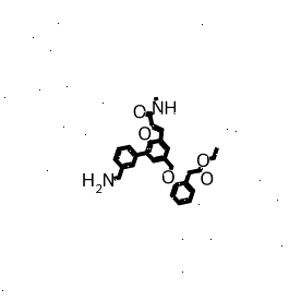 CCOC(=O)Cc1ccccc1OCc1cc(-c2cccc(CN)c2)c2oc(C(=O)NC)cc2c1